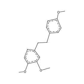 COc1ccc([CH]Cc2ccc(OC)c(OC)c2)cc1